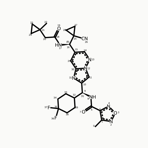 Cc1nonc1C(=O)N[C@H](c1cn2ncc([C@@H](NC(=O)CC3(C)CC3)C3(C#N)CC3)cc2n1)C1CCC(F)(F)CC1